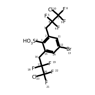 O=S(=O)(O)c1c(CC(F)(F)C(F)(F)Cl)cc(Br)cc1CC(F)(F)C(F)(F)Cl